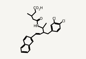 CC(CC(=O)O)CC(=O)NC(C)C(C=Cc1ccc2ccccc2c1)Cc1ccc(Cl)c(Cl)c1